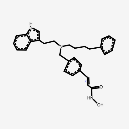 O=C(/C=C/c1ccc(CN(CCCCc2ccccc2)CCc2c[nH]c3ccccc23)cc1)NO